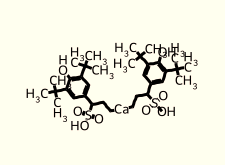 CC(C)(C)c1cc(C(C[CH2][Ca][CH2]CC(c2cc(C(C)(C)C)c(O)c(C(C)(C)C)c2)S(=O)(=O)O)S(=O)(=O)O)cc(C(C)(C)C)c1O